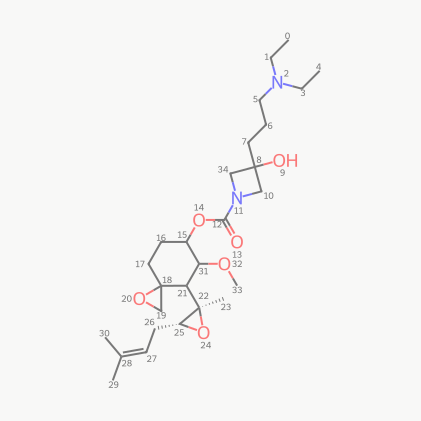 CCN(CC)CCCC1(O)CN(C(=O)OC2CCC3(CO3)C([C@@]3(C)O[C@@H]3CC=C(C)C)C2OC)C1